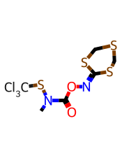 CN(SC(Cl)(Cl)Cl)C(=O)ON=C1SCSCS1